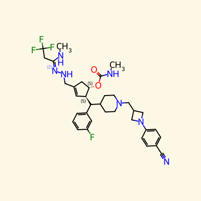 CNC(=O)O[C@H]1CC(CN/N=C(/CC(F)(F)F)NC)=C[C@@H]1C(c1cccc(F)c1)C1CCN(CC2CN(c3ccc(C#N)cc3)C2)CC1